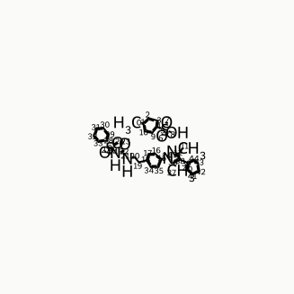 Cc1ccc(S(=O)(=O)O)cc1.Cc1nn(-c2ccc(CCNC(=O)NS(=O)(=O)c3ccccc3)cc2)c(C)c1-c1ccccc1